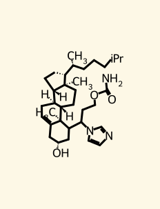 CC(C)CCC[C@@H](C)[C@H]1CC[C@H]2[C@@H]3CC=C4C[C@@H](O)CC(C(CCOC(N)=O)n5ccnc5)[C@]4(C)[C@H]3CC[C@]12C